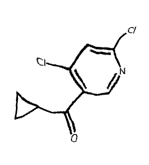 O=C(c1cnc(Cl)cc1Cl)C1CC1